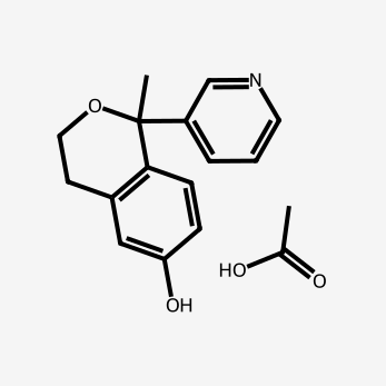 CC(=O)O.CC1(c2cccnc2)OCCc2cc(O)ccc21